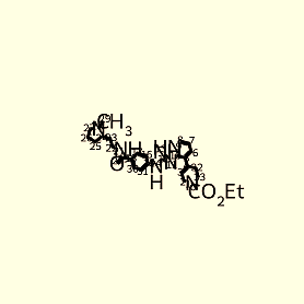 CCOC(=O)N1CC=C(c2ccc[nH]/c2=N\C(=N)Nc2ccc(C(=O)NCCC3CCCN3C)cc2)CC1